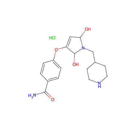 Cl.NC(=O)c1ccc(OC2=CC(O)N(CC3CCNCC3)C2O)cc1